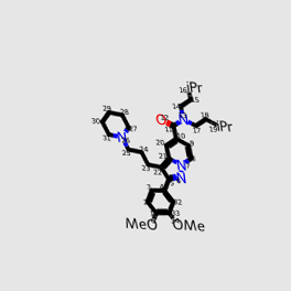 COc1ccc(-c2nn3ccc(C(=O)N(CCC(C)C)CCC(C)C)cc3c2CCCN2CCCCC2)cc1OC